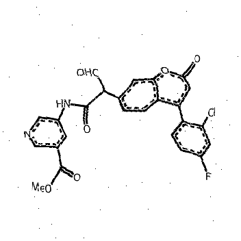 COC(=O)c1cncc(NC(=O)C(C=O)c2ccc3c(-c4ccc(F)cc4Cl)cc(=O)oc3c2)c1